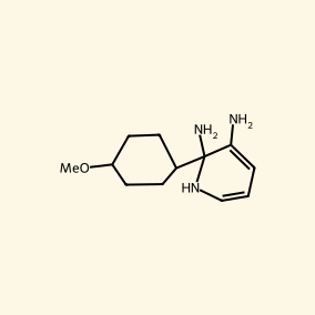 COC1CCC(C2(N)NC=CC=C2N)CC1